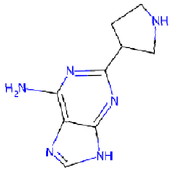 Nc1nc(C2CCNC2)nc2[nH]cnc12